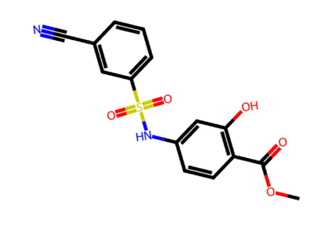 COC(=O)c1ccc(NS(=O)(=O)c2cccc(C#N)c2)cc1O